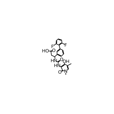 Cc1cn(C)c(=O)c(NC(=O)NC(CC(=O)O)c2cccc(-c3c(F)cccc3F)c2)c1O